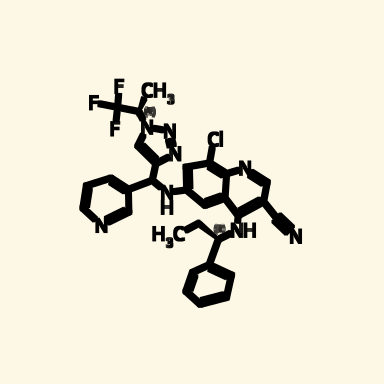 CC[C@@H](Nc1c(C#N)cnc2c(Cl)cc(NC(c3cccnc3)c3cn([C@H](C)C(F)(F)F)nn3)cc12)c1ccccc1